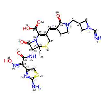 N=CN1CC(CN2CC/C(=C\C3=C(C(=O)O)N4C(=O)[C@@H](NC(=O)/C(=N\O)c5csc(N)n5)[C@H]4SC3)C2=O)C1